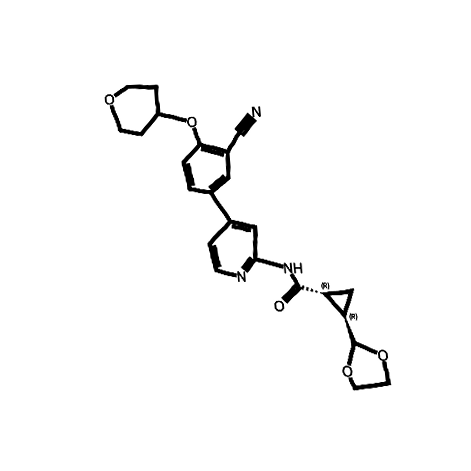 N#Cc1cc(-c2ccnc(NC(=O)[C@@H]3C[C@H]3C3OCCO3)c2)ccc1OC1CCOCC1